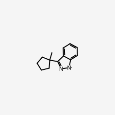 CC1(C2=N[N]c3ccccc32)CCCC1